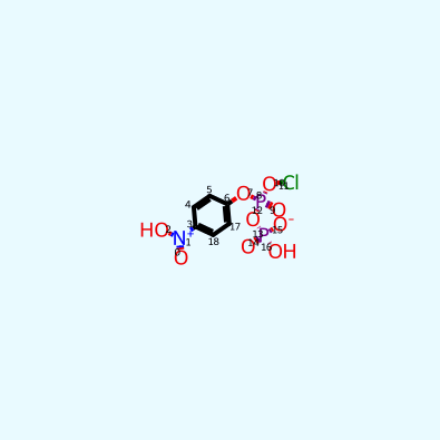 O=[N+](O)c1ccc(OP(=O)(OCl)OP(=O)([O-])O)cc1